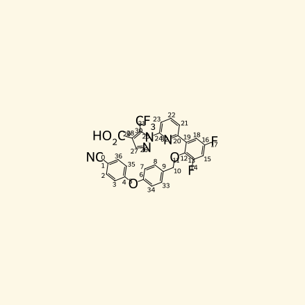 N#Cc1ccc(Oc2ccc(COc3c(F)cc(F)cc3-c3cccc(-n4ncc(C(=O)O)c4C(F)(F)F)n3)cc2)cc1